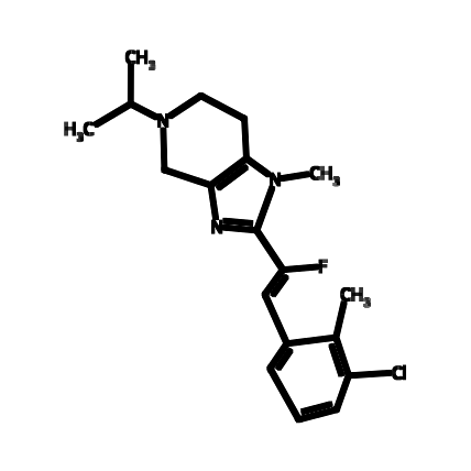 Cc1c(Cl)cccc1/C=C(\F)c1nc2c(n1C)CCN(C(C)C)C2